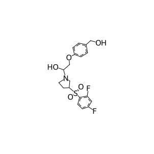 O=S(=O)(c1ccc(F)cc1F)C1CCN(C(O)COc2ccc(CO)cc2)C1